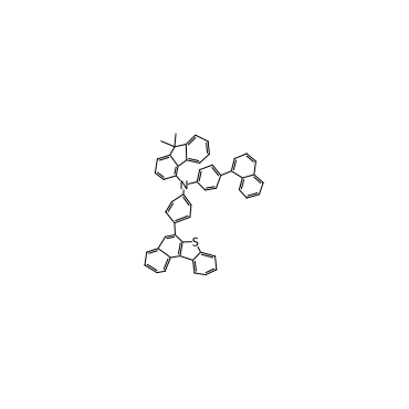 CC1(C)c2ccccc2-c2c(N(c3ccc(-c4cccc5ccccc45)cc3)c3ccc(-c4cc5ccccc5c5c4sc4ccccc45)cc3)cccc21